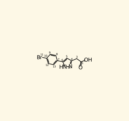 O=C(O)Cc1cc(-c2ccc(Br)cc2)[nH]n1